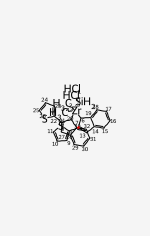 Cl.Cl.[CH3][Zr]([CH3])(=[SiH2])([CH]1C(c2cccs2)=Cc2ccccc21)[CH]1C(c2cccs2)=Cc2ccccc21